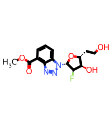 COC(=O)c1cccc2c1nnn2[C@@H]1O[C@H](CCO)[C@@H](O)[C@H]1F